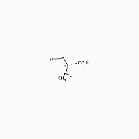 C.CC(C)C[C@@H](N)C(=O)O